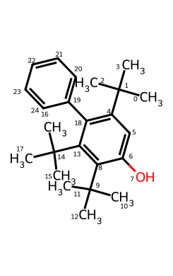 CC(C)(C)c1cc(O)c(C(C)(C)C)c(C(C)(C)C)c1-c1ccccc1